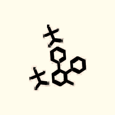 Ic1cccc(-[n+]2ccccc2)c1-[n+]1ccccc1.O=C([O-])C(F)(F)F.O=C([O-])C(F)(F)F